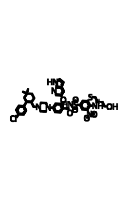 CC1(C)CCC(CN2CCN(c3ccc(C(=O)NS(=O)(=O)c4cc5c(c([N+](=O)[O-])c4)N[C@H](CCO)CS5)c(Oc4cnc5[nH]ccc5c4)c3)CC2)=C(c2ccc(Cl)cc2)C1